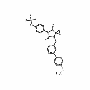 COc1ccc(-c2cc(CN3C(=O)N(c4ccc(OC(F)(F)F)cc4)C(=O)C34CC4)ccn2)cc1